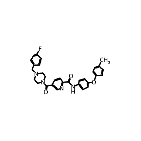 Cc1ccc(Oc2ccc(NC(=O)c3ccc(C(=O)N4CCN(Cc5ccc(F)cc5)CC4)cn3)cc2)cc1